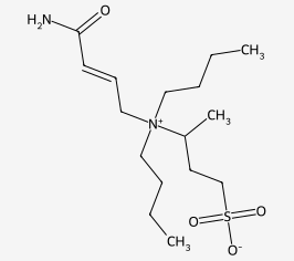 CCCC[N+](CC=CC(N)=O)(CCCC)C(C)CCS(=O)(=O)[O-]